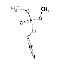 COP(=O)(OC)OC=[N+]=[N-]